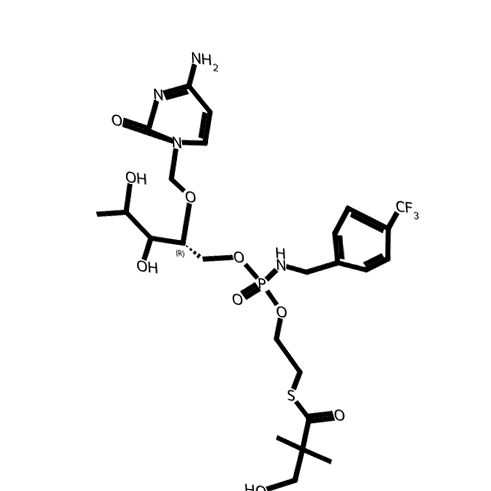 CC(O)C(O)[C@@H](COP(=O)(NCc1ccc(C(F)(F)F)cc1)OCCSC(=O)C(C)(C)CO)OCn1ccc(N)nc1=O